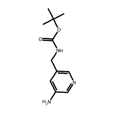 CC(C)(C)OC(=O)NCc1cncc(N)c1